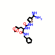 N=C(N)c1ccc(NC(=O)NC(CC2=COCO2)C(=O)NCc2ccccc2)s1